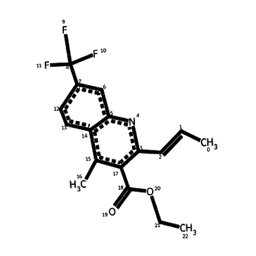 CC=Cc1nc2cc(C(F)(F)F)ccc2c(C)c1C(=O)OCC